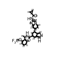 CC(NC(=O)c1cc(-c2ccn3nc(NC(=O)C4CC4)nc3c2)c2cn[nH]c2c1)c1ccccc1OC(F)(F)F